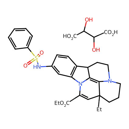 CCOC(=O)C1=CC2(CC)CCCN3CCC4C(=C32)N1c1cc(NS(=O)(=O)c2ccccc2)ccc14.O=C(O)C(O)C(O)C(=O)O